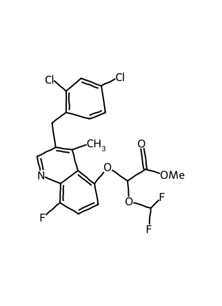 COC(=O)C(Oc1ccc(F)c2ncc(Cc3ccc(Cl)cc3Cl)c(C)c12)OC(F)F